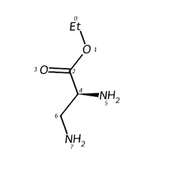 CCOC(=O)[C@@H](N)CN